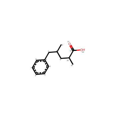 CC(Cc1ccccc1)CC(C)C(=O)O